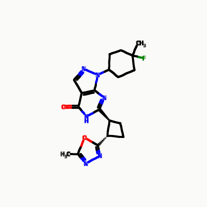 Cc1nnc([C@H]2CC[C@@H]2c2nc3c(cnn3C3CCC(C)(F)CC3)c(=O)[nH]2)o1